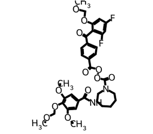 COCOc1cc(F)cc(F)c1C(=O)c1ccc(C(=O)OOC(=O)N2CCCCC(NC(=O)c3cc(OC)c(OCOC)c(OC)c3)C2)cc1